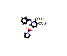 O=C(O)[C@H]1C[C@H](OC(=O)N2CCCC2)CN(Cc2ccccc2)[C@@H]1C(=O)O